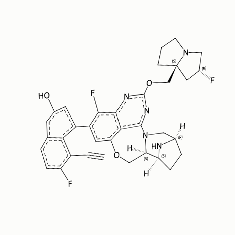 C#Cc1c(F)ccc2cc(O)cc(-c3cc4c5c(nc(OC[C@@]67CCCN6C[C@H](F)C7)nc5c3F)N3C[C@H]5CC[C@H](N5)[C@H]3CO4)c12